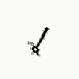 C#CC#CC#CC#Cc1cc(C)ccc1O